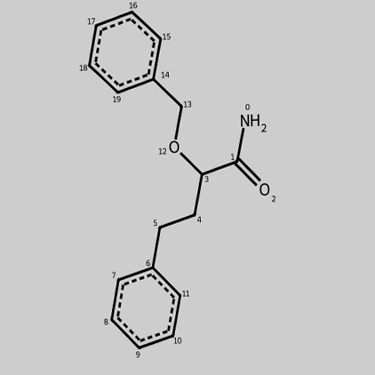 NC(=O)C(CCc1ccccc1)OCc1ccccc1